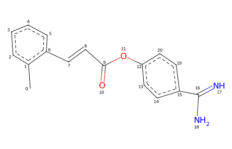 Cc1ccccc1C=CC(=O)Oc1ccc(C(=N)N)cc1